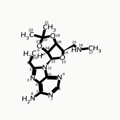 CCc1nc2c(N)ncnc2n1[C@@H]1O[C@H](CNC)C2OC(C)(C)O[C@@H]21